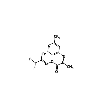 CC(C)C(=NOC(=O)N(C)Sc1cccc(C(F)(F)F)c1)C(F)F